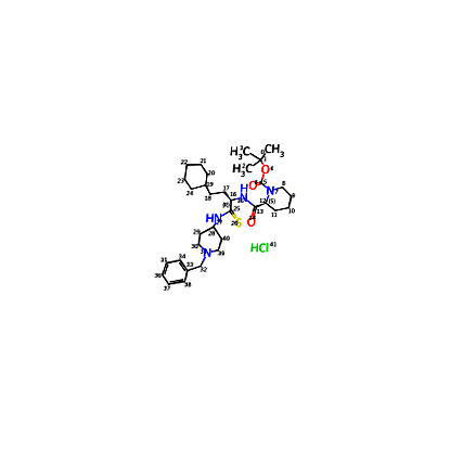 CC(C)(C)OC(=O)N1CCCC[C@H]1C(=O)N[C@H](CCC1CCCCC1)C(=S)NC1CCN(Cc2ccccc2)CC1.Cl